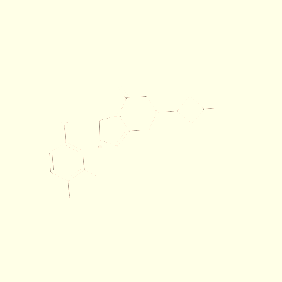 O=C1CN(C2CC(O)C2)CC2=C[C@H](c3c(O)ccc(Cl)c3Cl)CN12